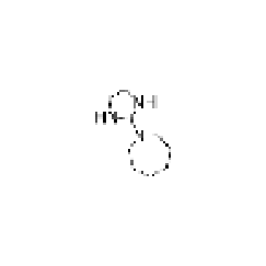 C1CCCN(C2NCCN2)CC1